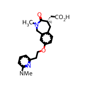 CNc1cccc(CCOc2ccc3c(c2)CN(C)C(=O)[C@H](CC(=O)O)C3)n1